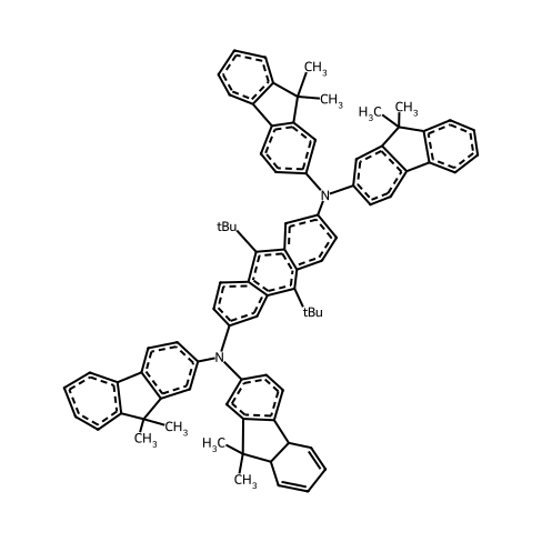 CC(C)(C)c1c2ccc(N(c3ccc4c(c3)C(C)(C)c3ccccc3-4)c3ccc4c(c3)C(C)(C)C3C=CC=CC43)cc2c(C(C)(C)C)c2ccc(N(c3ccc4c(c3)C(C)(C)c3ccccc3-4)c3ccc4c(c3)C(C)(C)c3ccccc3-4)cc12